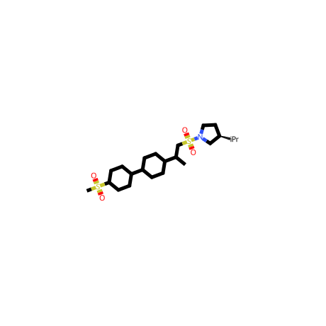 CC(CS(=O)(=O)N1CC[C@@H](C(C)C)C1)C1CCC(C2CCC(S(C)(=O)=O)CC2)CC1